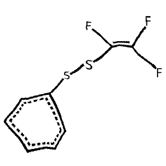 FC(F)=C(F)SSc1ccccc1